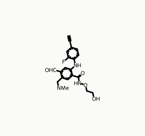 C#Cc1ccc(Nc2cc(C=O)c(CNC)cc2C(=O)NOCCO)c(F)c1